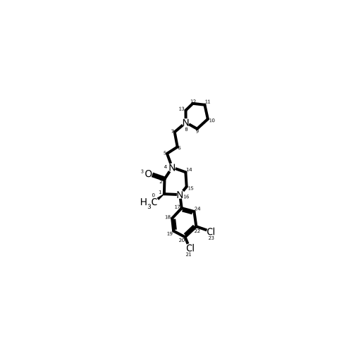 C[C@H]1C(=O)N(CCCN2CCCCC2)CCN1c1ccc(Cl)c(Cl)c1